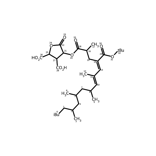 CCC(C)CC(C)CC(C)CC(C)/C=C(C)/C=C(\CC(C)C(=O)OC1C(=O)OC(C(=O)O)C1C(=O)O)C(=O)OC(C)(C)C